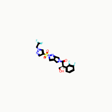 O=C([C@H](CO)c1cccc(F)c1F)N1Cc2cn(S(=O)(=O)c3cnn(CC(F)F)c3)nc2C1